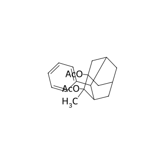 CC(=O)OC12CC3CC(C1)C(c1ccccc1)C(C3)C2(C)OC(C)=O